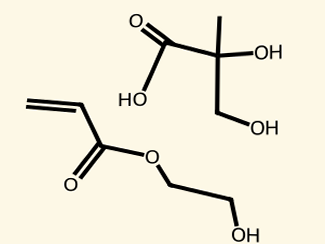 C=CC(=O)OCCO.CC(O)(CO)C(=O)O